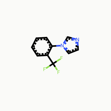 FC(F)(F)c1ccccc1-n1[c]ncc1